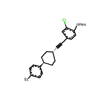 CCCCCCc1ccc(C#C[C@H]2CC[C@H](c3ccc(CC)cc3)CC2)cc1Cl